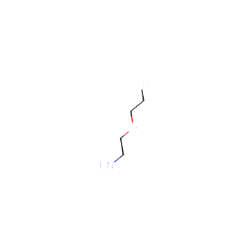 CC(C)CCOCC[NH]